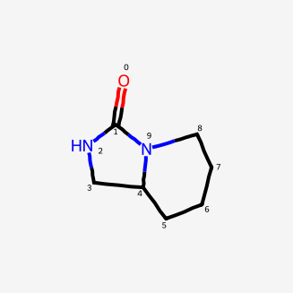 O=C1NCC2CCCCN12